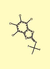 FC(F)(F)N=c1oc2c(Cl)c(Cl)c(Cl)c(Cl)c2o1